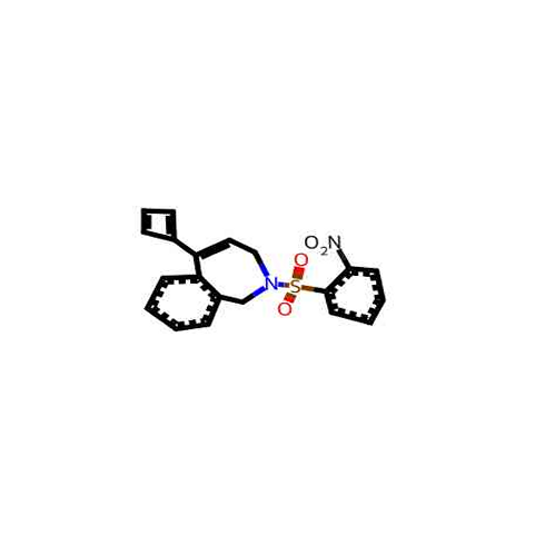 O=[N+]([O-])c1ccccc1S(=O)(=O)N1CC=C(C2=CC=C2)c2ccccc2C1